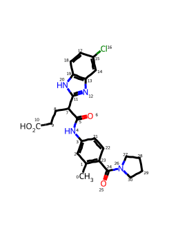 Cc1cc(NC(=O)C(CCC(=O)O)c2nc3cc(Cl)ccc3[nH]2)ccc1C(=O)N1CCCC1